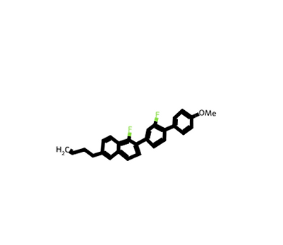 C=CCCc1ccc2c(F)c(-c3ccc(-c4ccc(OC)cc4)c(F)c3)ccc2c1